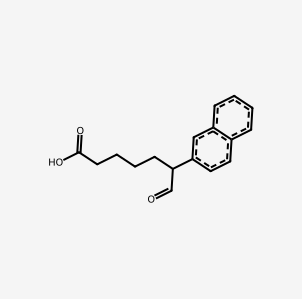 O=CC(CCCCC(=O)O)c1ccc2ccccc2c1